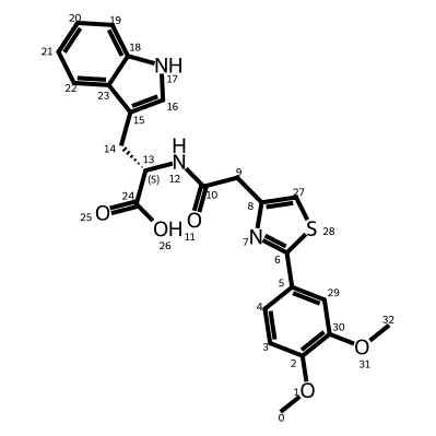 COc1ccc(-c2nc(CC(=O)N[C@@H](Cc3c[nH]c4ccccc34)C(=O)O)cs2)cc1OC